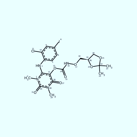 Cn1c(Nc2ccc(I)cc2Cl)c(OC(=O)NOC[C@H]2COC(C)(C)O2)c(=O)n(C)c1=O